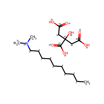 CCCCCCCCCCN(C)C.O=C(O)CC(O)(CC(=O)O)C(=O)O